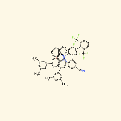 Cc1cc(C)cc(-c2ccc3c(c2)c2ccccc2n3-c2ccc(C#N)cc2-c2cc(-c3c(C(F)(F)F)cccc3C(F)(F)F)ccc2-n2c3ccccc3c3cc(-c4cc(C)cc(C)c4)ccc32)c1